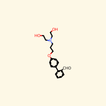 O=Cc1ccccc1-c1ccc(OCCCN(CCO)CCO)cc1